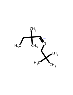 CCC(C)(C)/C=N\CC(C)(C)C